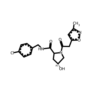 Cc1cc(CC(=O)N2C[C@H](O)CC2C(=O)NCc2ccc(Cl)cc2)on1